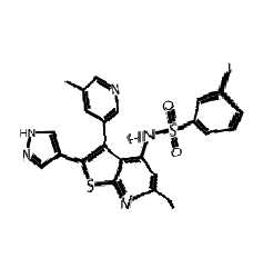 Cc1cncc(-c2c(-c3cn[nH]c3)sc3nc(C)cc(NS(=O)(=O)c4cccc(I)c4)c23)c1